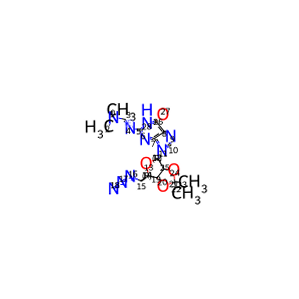 CN(C)/C=N/c1nc2c(ncn2[C@@H]2O[C@H](CN=[N+]=[N-])C3OC(C)(C)OC32)c(=O)[nH]1